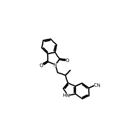 CC(CN1C(=O)c2ccccc2C1=O)c1c[nH]c2ccc(C#N)cc12